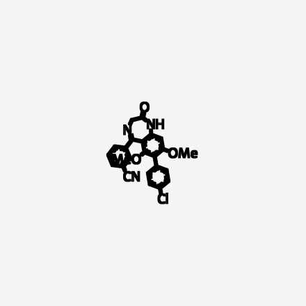 COc1cc2c(c(OC)c1-c1ccc(Cl)cc1)C(c1cccc(C#N)c1)=NCC(=O)N2